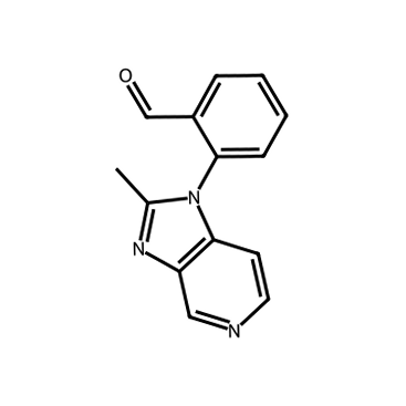 Cc1nc2cnccc2n1-c1ccccc1C=O